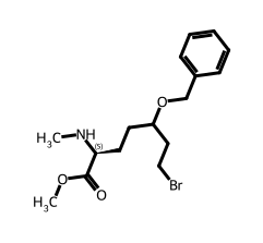 CN[C@@H](CCC(CCBr)OCc1ccccc1)C(=O)OC